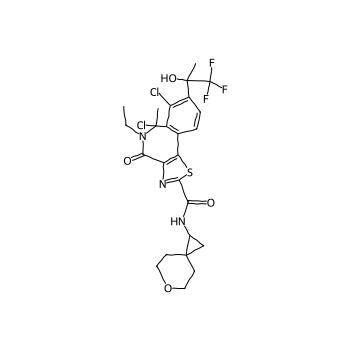 CCN(CC)C(=O)c1nc(C(=O)NC2CC23CCOCC3)sc1-c1ccc(C(C)(O)C(F)(F)F)c(Cl)c1Cl